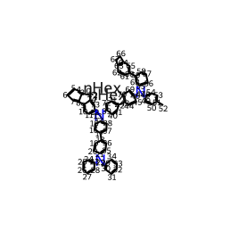 CCCCCCC1(CCCCCC)c2ccccc2-c2ccc(N(c3ccc(-c4ccc(N(c5ccccc5)c5ccccc5)cc4)cc3)c3ccc(-c4ccc(N(c5ccc(C)cc5)c5cccc(-c6ccc7c(c6)CC7)c5)cc4)cc3)cc21